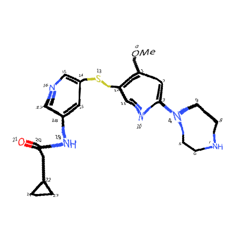 COc1cc(N2CCNCC2)ncc1Sc1cncc(NC(=O)C2CC2)c1